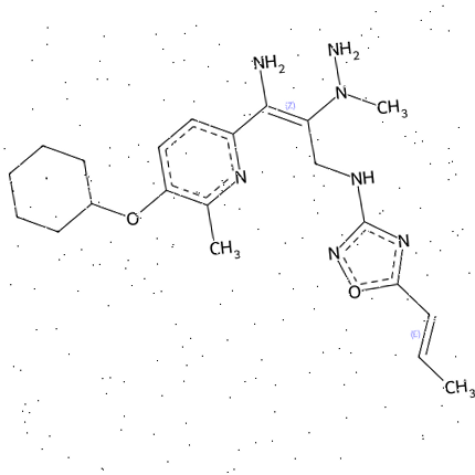 C/C=C/c1nc(NC/C(=C(/N)c2ccc(OC3CCCCC3)c(C)n2)N(C)N)no1